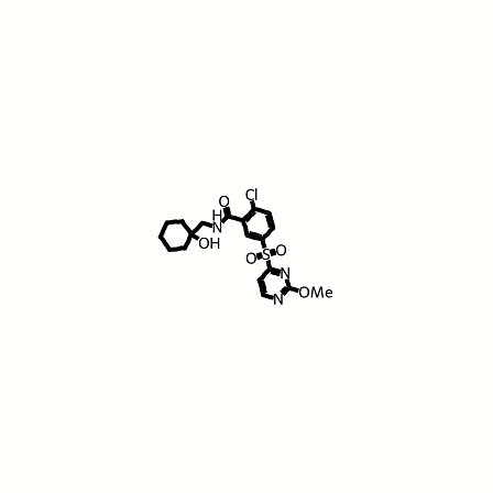 COc1nccc(S(=O)(=O)c2ccc(Cl)c(C(=O)NCC3(O)CCCCC3)c2)n1